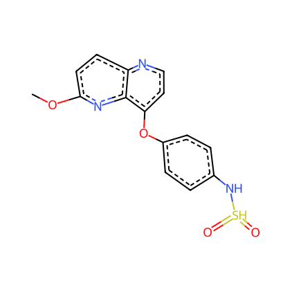 COc1ccc2nccc(Oc3ccc(N[SH](=O)=O)cc3)c2n1